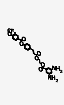 Nc1cc(N)cc(C(=O)OCCOC(=O)/C=C/c2ccc(OC(=O)c3ccc(OC(F)(F)F)cc3)cc2)c1